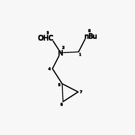 CCCCCN(C=O)CC1CC1